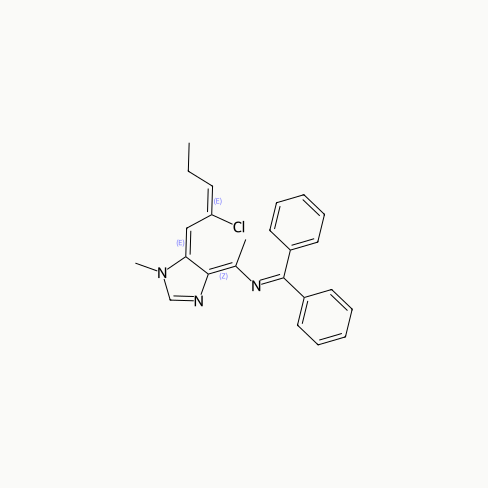 CC\C=C(Cl)/C=c1\c(=C(/C)N=C(c2ccccc2)c2ccccc2)ncn1C